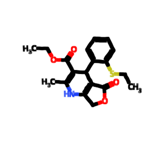 CCOC(=O)C1=C(C)NC2=C(C(=O)OC2)C1c1ccccc1SCC